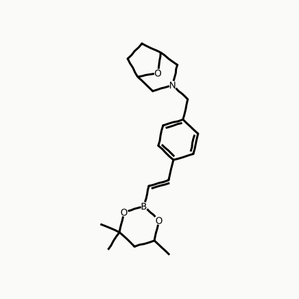 CC1CC(C)(C)OB(C=Cc2ccc(CN3CC4CCC(C3)O4)cc2)O1